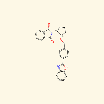 O=C1c2ccccc2C(=O)N1[C@@H]1CCC[C@H]1OCc1ccc(-c2nc3ccccc3o2)cc1